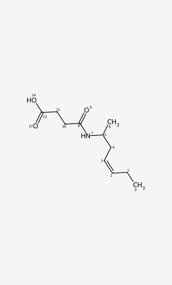 CC/C=C\CC(C)NC(=O)CCC(=O)O